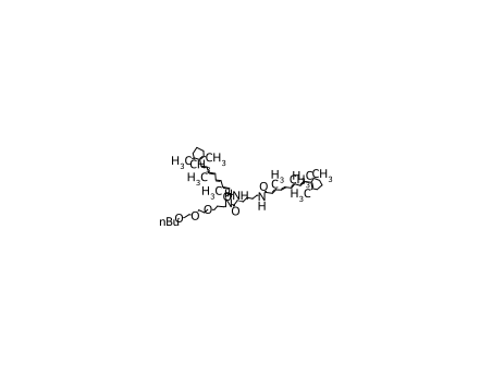 CCCCOCCOCCOCCCNC(=O)[C@H](CCCCNC(=O)/C=C(C)/C=C/C=C(C)/C=C/C1=C(C)CCCC1(C)C)NC(=O)/C=C(C)/C=C/C=C(C)/C=C/C1=C(C)CCCC1(C)C